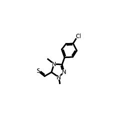 CN1N=C(c2ccc(Cl)cc2)N(C)C1C=S